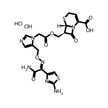 Cl.Cl.NC(=O)C(=NOCc1cncn1CC(=O)OC[C@@H]1C(=O)N2C(C(=O)O)=CCS[C@@H]12)c1csc(N)n1